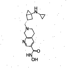 O=C(NO)c1cnc2c(c1)CCN(C[C@H]1CC3(NC4CC4)CC13)C2